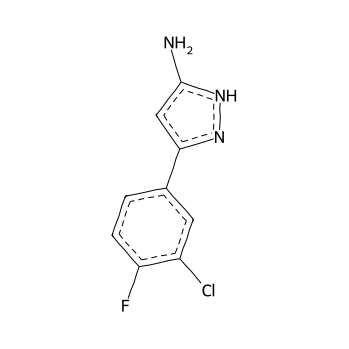 Nc1cc(-c2ccc(F)c(Cl)c2)n[nH]1